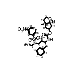 CC(C)CN(C[C@@H](O)[C@H](Cc1ccccc1)NC(=O)O[C@H]1C[C@H]2CCO[C@H]2C1)S(=O)(=O)c1cncc([N+](=O)[O-])c1